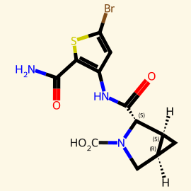 NC(=O)c1sc(Br)cc1NC(=O)[C@@H]1[C@H]2C[C@H]2CN1C(=O)O